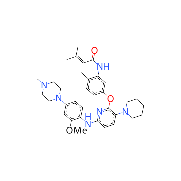 COc1cc(N2CCN(C)CC2)ccc1Nc1ccc(N2CCCCC2)c(Oc2ccc(C)c(NC(=O)C=C(C)C)c2)n1